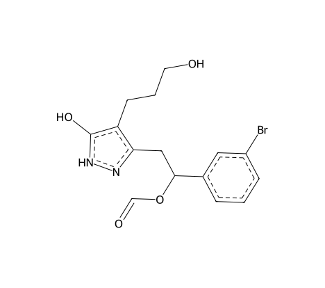 O=COC(Cc1n[nH]c(O)c1CCCO)c1cccc(Br)c1